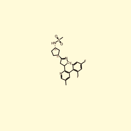 Cc1cnc(C2CC([C@H]3CC[C@H](NS(C)(=O)=O)C3)=NO2)c(-c2c(F)cc(F)cc2F)c1